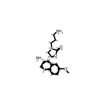 COc1ccc2nccc([C@@H]3CN(CCCN)C(=O)O3)c2c1.N